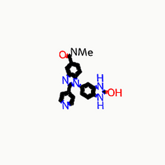 CNC(=O)c1ccc2c(c1)nc(-c1ccncc1)n2-c1ccc2c(c1)NC(O)N2